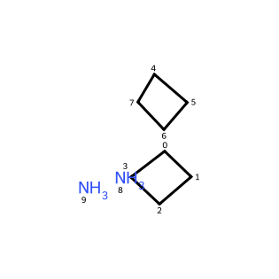 C1CCC1.C1CCC1.N.N